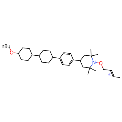 C/C=C/CON1C(C)(C)CC(c2ccc(C3CCC(C4CCC(OCCCC)CC4)CC3)cc2)CC1(C)C